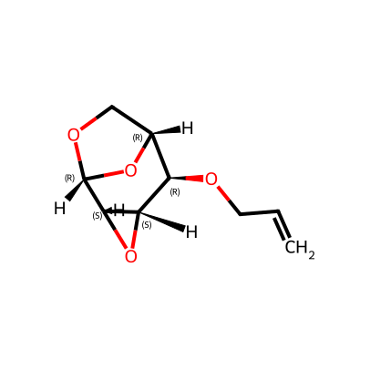 C=CCO[C@H]1[C@@H]2O[C@@H]2[C@@H]2OC[C@H]1O2